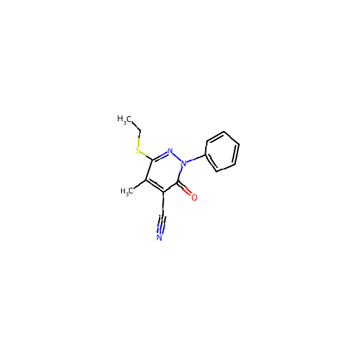 CCSc1nn(-c2ccccc2)c(=O)c(C#N)c1C